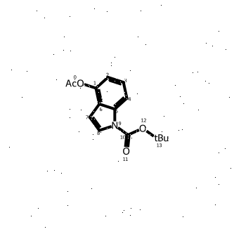 CC(=O)Oc1cccc2c1ccn2C(=O)OC(C)(C)C